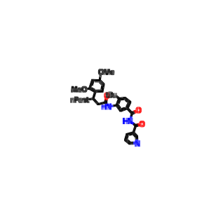 CCCCCC(CC(=O)Nc1cc(C(=O)NC(=O)c2cccnc2)ccc1C(C)(C)C)c1ccc(OC)cc1OC